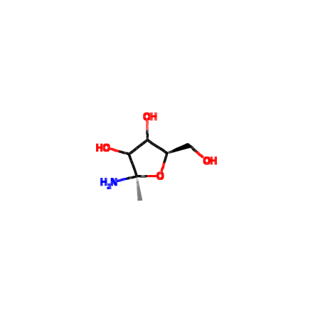 C[C@@]1(N)O[C@H](CO)C(O)C1O